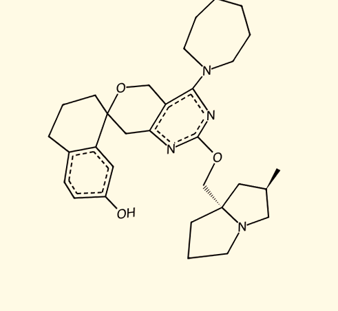 C[C@H]1CN2CCC[C@@]2(COc2nc3c(c(N4CCCCCC4)n2)COC2(CCCc4ccc(O)cc42)C3)C1